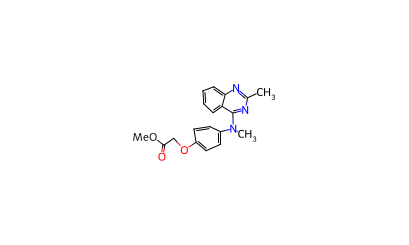 COC(=O)COc1ccc(N(C)c2nc(C)nc3ccccc23)cc1